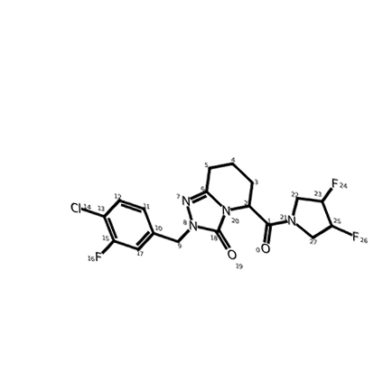 O=C(C1CCCc2nn(Cc3ccc(Cl)c(F)c3)c(=O)n21)N1CC(F)C(F)C1